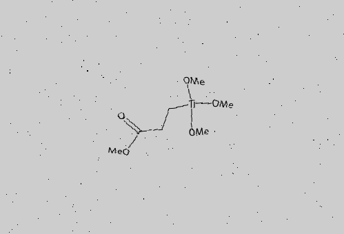 COC(=O)C[CH2][Ti]([O]C)([O]C)[O]C